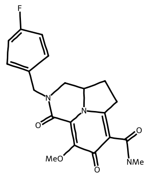 CNC(=O)c1c2n3c(c(OC)c1=O)C(=O)N(Cc1ccc(F)cc1)CC3CC2